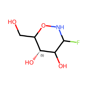 OCC1ONC(F)C(O)[C@@H]1O